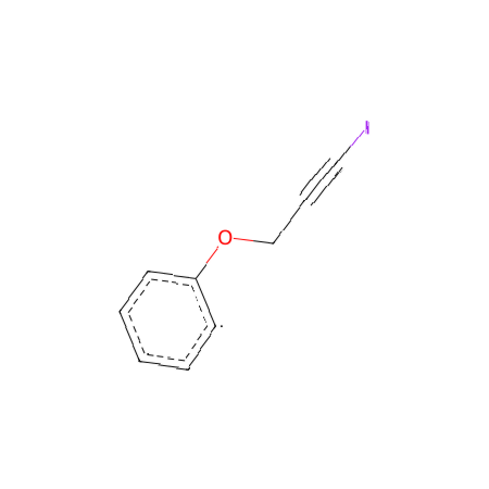 IC#CCOc1[c]cccc1